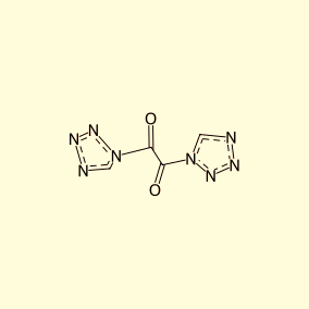 O=C(C(=O)n1cnnn1)n1cnnn1